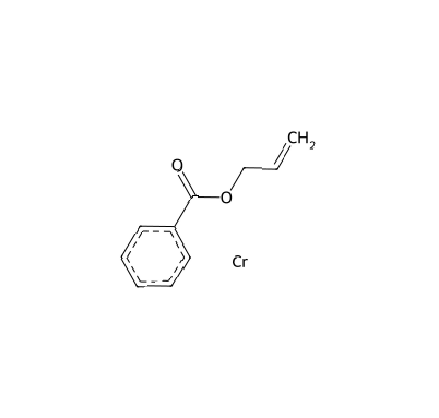 C=CCOC(=O)c1ccccc1.[Cr]